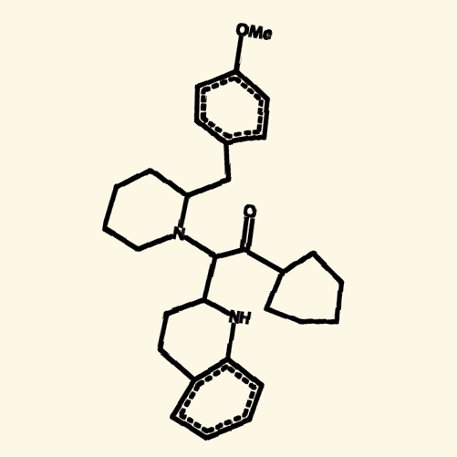 COc1ccc(CC2CCCCN2C(C(=O)C2CCCCC2)C2CCc3ccccc3N2)cc1